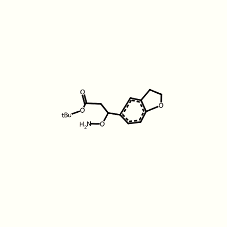 CC(C)(C)OC(=O)CC(ON)c1ccc2c(c1)CCO2